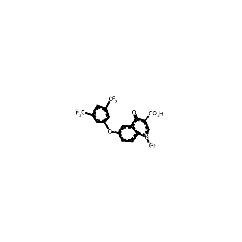 CC(C)n1cc(C(=O)O)c(=O)c2cc(Oc3cc(C(F)(F)F)cc(C(F)(F)F)c3)ccc21